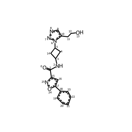 O=C(NC1CC(n2nncc2CCO)C1)c1cc(-c2ccccc2)on1